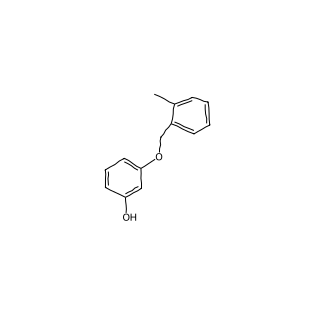 Cc1ccccc1COc1cccc(O)c1